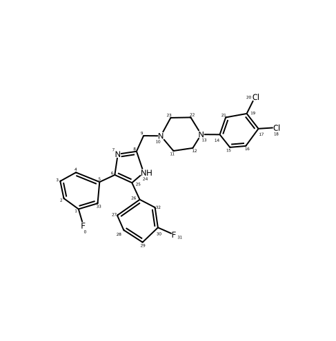 Fc1cccc(-c2nc(CN3CCN(c4ccc(Cl)c(Cl)c4)CC3)[nH]c2-c2cccc(F)c2)c1